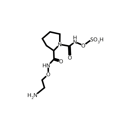 NCCONC(=O)C1CCCCN1C(=O)NOS(=O)(=O)O